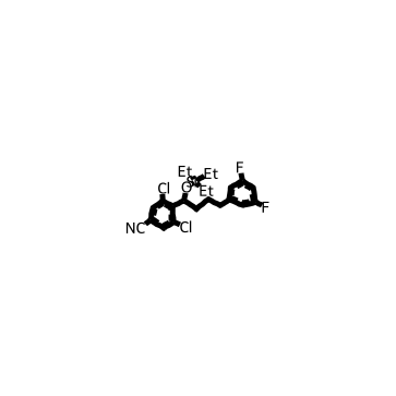 CC[Si](CC)(CC)OC(CCCc1cc(F)cc(F)c1)c1c(Cl)cc(C#N)cc1Cl